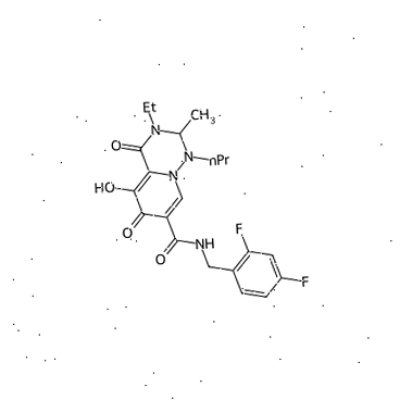 CCCN1C(C)N(CC)C(=O)c2c(O)c(=O)c(C(=O)NCc3ccc(F)cc3F)cn21